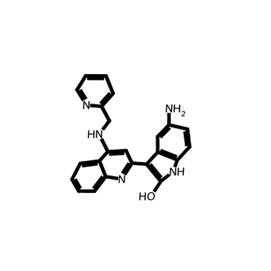 Nc1ccc2[nH]c(O)c(-c3cc(NCc4ccccn4)c4ccccc4n3)c2c1